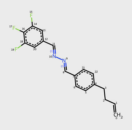 C=CCCc1ccc(/C=N/N=C/c2cc(F)c(F)c(F)c2)cc1